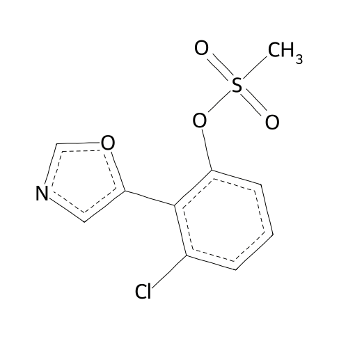 CS(=O)(=O)Oc1cccc(Cl)c1-c1cnco1